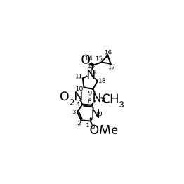 COc1ccc([N+](=O)[O-])c(N(C)C2CCN(C(=O)C3CC3)C2)n1